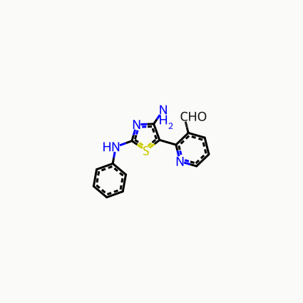 Nc1nc(Nc2ccccc2)sc1-c1ncccc1C=O